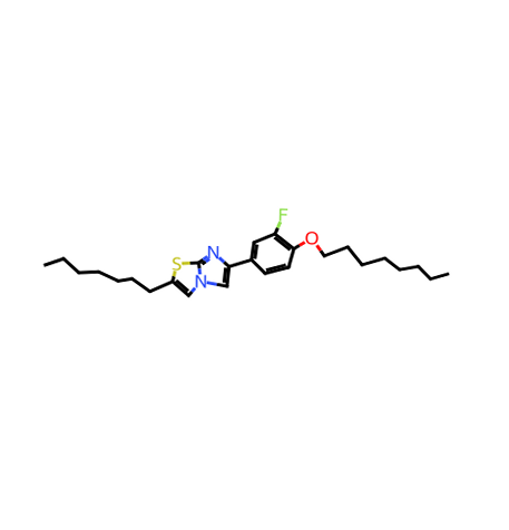 CCCCCCCCOc1ccc(-c2cn3cc(CCCCCCC)sc3n2)cc1F